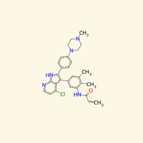 C=CC(=O)Nc1cc(-c2c(-c3ccc(N4CCN(C)CC4)cc3)[nH]c3nccc(Cl)c23)cc(C)c1C